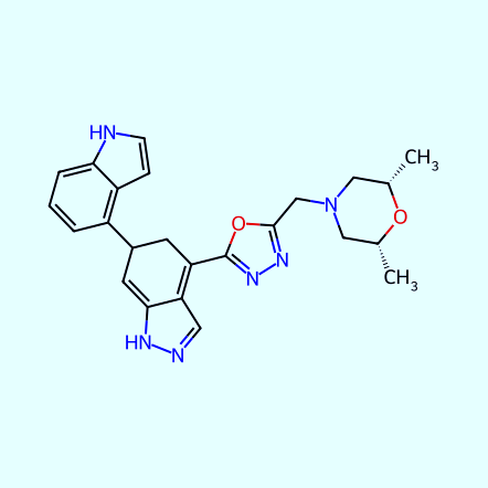 C[C@@H]1CN(Cc2nnc(C3=c4cn[nH]c4=CC(c4cccc5[nH]ccc45)C3)o2)C[C@H](C)O1